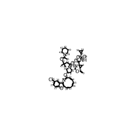 C=C[C@@H]1C[C@]1(NC(=O)[C@@H]1C[C@@H](Oc2ccccccc3oc4ccc(Cl)cc4c3n2)CN1C(=O)[C@@H](CC(=O)N1CCCCC1)C(C)(C)C)C(=O)NS(=O)(=O)C1CC1